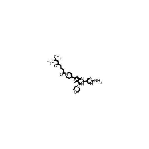 CC(C)=CC(=O)CCCC(=O)N1CC=C(c2cc3nc(-c4cnc(N)nc4)nc(N4CCOCC4)c3s2)CC1